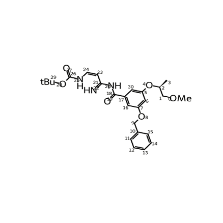 COC[C@H](C)Oc1cc(OCc2ccccc2)cc(C(=O)NC(=N)/C=C\NC(=O)OC(C)(C)C)c1